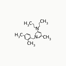 CCCN(CCC)C1=CC(C)=CN(Cc2ccc(C)cc2C)C1